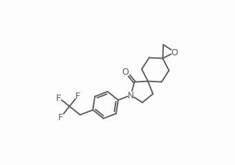 O=C1N(c2ccc(CC(F)(F)F)cc2)CCC12CCC1(CC2)CO1